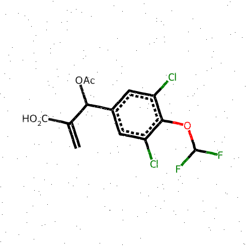 C=C(C(=O)O)C(OC(C)=O)c1cc(Cl)c(OC(F)F)c(Cl)c1